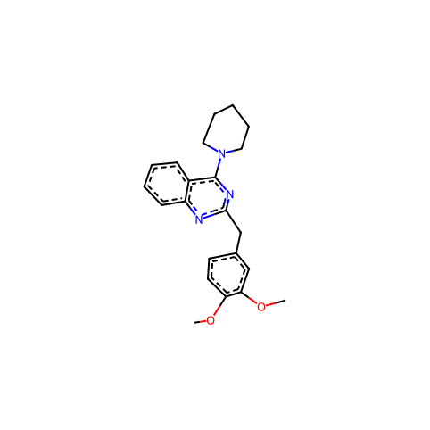 COc1ccc(Cc2nc(N3CCCCC3)c3ccccc3n2)cc1OC